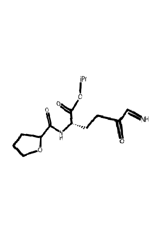 CC(C)OC(=O)[C@H](CCC(=O)C=N)NC(=O)C1CCCO1